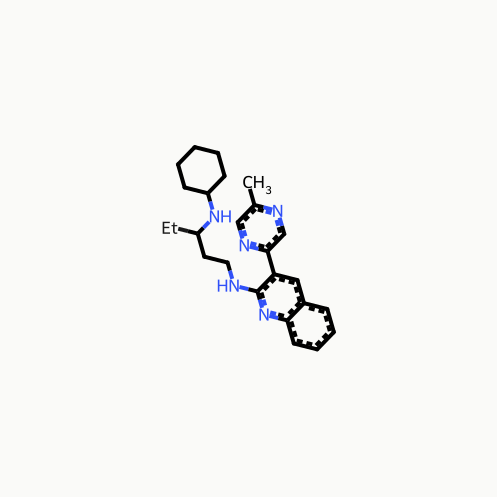 CCC(CCNc1nc2ccccc2cc1-c1cnc(C)cn1)NC1CCCCC1